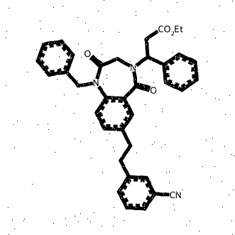 CCOC(=O)CC(c1ccccc1)N1CC(=O)N(Cc2ccccc2)c2ccc(CCc3cccc(C#N)c3)cc2C1=O